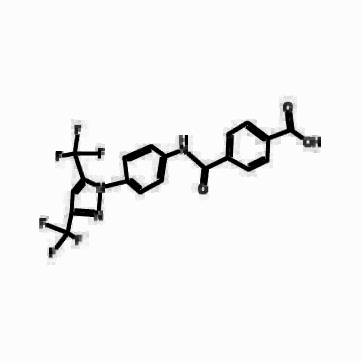 O=C(O)c1ccc(C(=O)Nc2ccc(-n3nc(C(F)(F)F)cc3C(F)(F)F)cc2)cc1